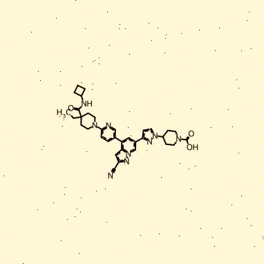 CCC1(C(=O)NC2CCC2)CCN(c2ccc(-c3cc(-c4ccn(C5CCN(C(=O)O)CC5)n4)cn4nc(C#N)cc34)cn2)CC1